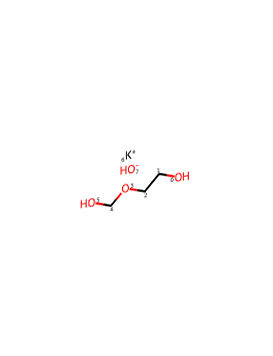 OCCOCO.[K+].[OH-]